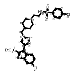 CCOC(=O)c1[nH]c2cc(Cl)ccc2c1-c1cn(CC2CCN(CCNS(=O)(=O)c3ccc(Cl)cc3)CC2)nn1